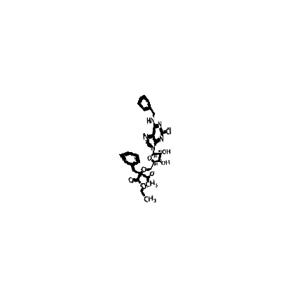 CCOC(=O)C(Cc1ccccc1)(OC[C@H]1O[C@@H](n2cnc3c(NCc4ccccc4)nc(Cl)nc32)[C@H](O)[C@@H]1O)C(C)=O